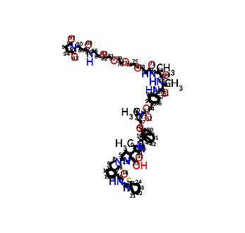 Cc1c(-c2ccc(N3CCc4cccc(C(=O)Nc5nc6ccccc6s5)c4C3)nc2C(=O)O)cnn1CC12CC3CC(C1)CC(OCCN(C)C(=O)OCc1ccc(NC(=O)[C@H](C)NC(=O)[C@H](C)NC(=O)CCOCCOCCOCCOCCNC(=O)CCN4C(=O)C=CC4=O)cc1)(C3)C2